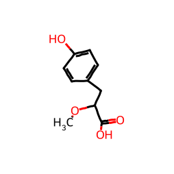 COC(Cc1ccc(O)cc1)C(=O)O